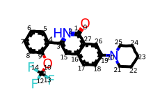 O=c1[nH]c(-c2ccccc2OC(F)(F)F)cc2ccc(N3CCCCC3)cc12